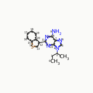 CCC(C)n1cnc2c(N)nc(-c3csc4ccccc34)nc21